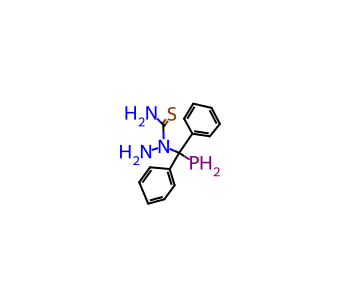 NC(=S)N(N)C(P)(c1ccccc1)c1ccccc1